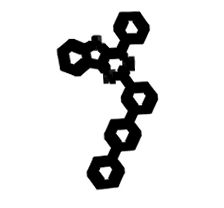 c1ccc(-c2ccc(-c3cccc(-c4nc(-c5ccccc5)c5sc6ccccc6c5n4)c3)cc2)cc1